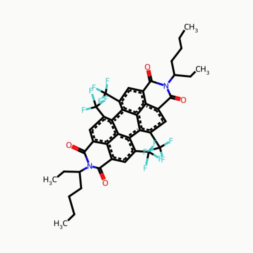 CCCCC(CC)N1C(=O)c2cc(C(F)(F)F)c3c4c(C(F)(F)F)cc5c6c(cc(C(F)(F)F)c(c7c(C(F)(F)F)cc(c2c37)C1=O)c64)C(=O)N(C(CC)CCCC)C5=O